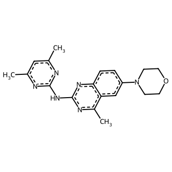 Cc1cc(C)nc(Nc2nc(C)c3cc(N4CCOCC4)ccc3n2)n1